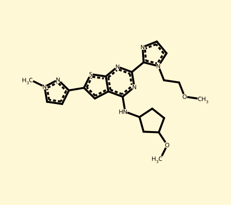 COCCn1ccnc1-c1nc(NC2CCC(OC)C2)c2cc(-c3ccn(C)n3)sc2n1